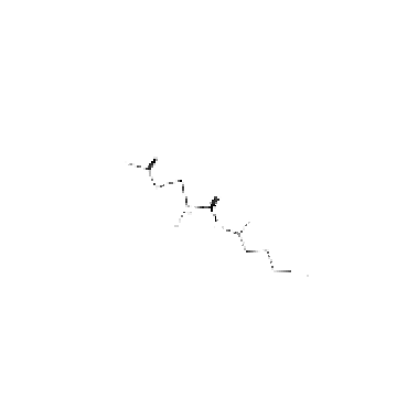 CCCCC(Cl)OC(=O)[C@@H](N)CCC(N)=O